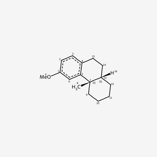 COc1ccc2c(c1)[C@@]1(C)CCCC[C@H]1CC2